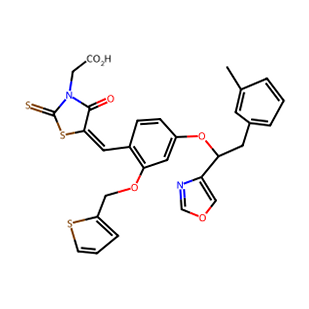 Cc1cccc(CC(Oc2ccc(C=C3SC(=S)N(CC(=O)O)C3=O)c(OCc3cccs3)c2)c2cocn2)c1